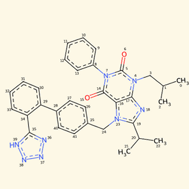 CC(C)Cn1c(=O)n(-c2ccccc2)c(=O)c2c1nc(C(C)C)n2Cc1ccc(-c2ccccc2-c2nnn[nH]2)cc1